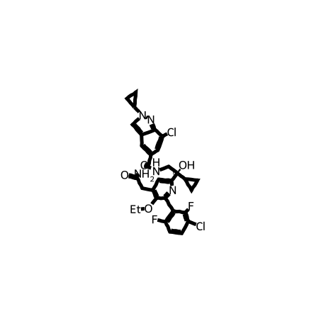 CCOc1c(CC(N)=O)cc([C@@](O)(CNC(=O)c2cc(Cl)c3nn(C4CC4)cc3c2)C2CC2)nc1-c1c(F)ccc(Cl)c1F